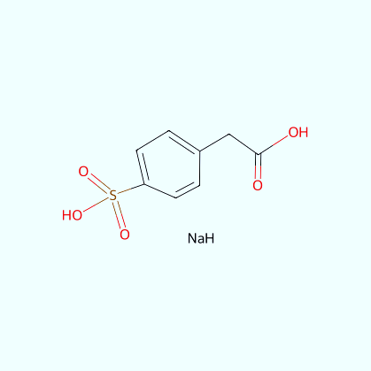 O=C(O)Cc1ccc(S(=O)(=O)O)cc1.[NaH]